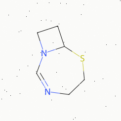 C1=NCCSC2CCN12